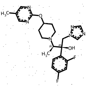 Cc1cnc(OC2CCN([C@H](C)[C@](O)(Cn3cncn3)c3ccc(F)cc3F)CC2)nc1